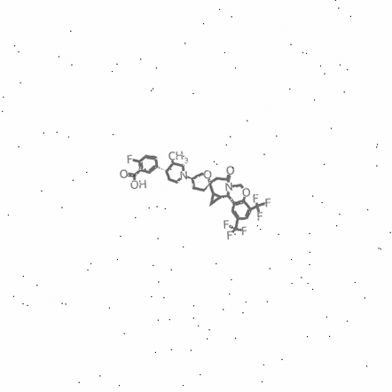 CC1CN([C@@H]2CC[C@]3(CC(=O)N4COc5c(cc(C(F)(F)F)cc5C(F)(F)F)C4C4CC43)OC2)CC[C@@H]1c1ccc(F)c(C(=O)O)c1